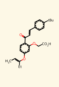 CC=C(CC)Oc1ccc(C(=O)C=Cc2ccc(C(C)(C)C)cc2)c(OCC(=O)O)c1